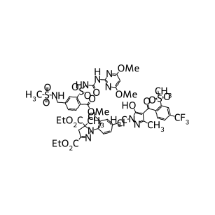 CCOC(=O)C1=NN(c2ccc(Cl)cc2Cl)C(C)(C(=O)OCC)C1.COC(=O)c1ccc(CNS(C)(=O)=O)cc1S(=O)(=O)NC(=O)Nc1nc(OC)cc(OC)n1.Cc1nn(C)c(O)c1C(=O)c1ccc(C(F)(F)F)cc1S(C)(=O)=O